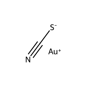 N#C[S-].[Au+]